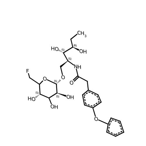 CC[C@@H](O)[C@@H](O)[C@H](CO[C@H]1OC(CF)[C@@H](O)C(O)[C@@H]1O)NC(=O)Cc1ccc(Oc2ccccc2)cc1